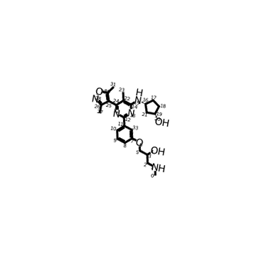 CNCC(O)COc1cccc(-c2nc(N[C@@H]3CC[C@H](O)C3)c(C)c(-c3c(C)noc3C)n2)c1